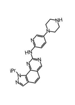 CC(C)n1ncc2ccc3cnc(Nc4ccc(N5CCNCC5)cn4)nc3c21